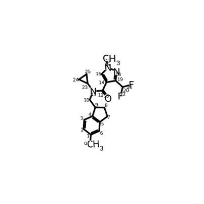 Cc1ccc2c(c1)CCC2CN(C(=O)c1cn(C)nc1C(F)F)C1CC1